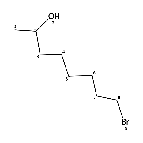 CC(O)CCCCCCBr